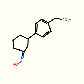 O=C(O)Cc1ccc(C2CCCC(=NO)C2)cc1